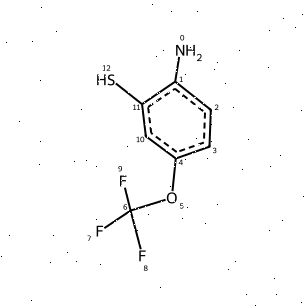 Nc1ccc(OC(F)(F)F)cc1S